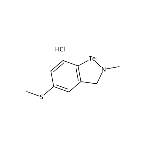 CSc1ccc2c(c1)CN(C)[Te]2.Cl